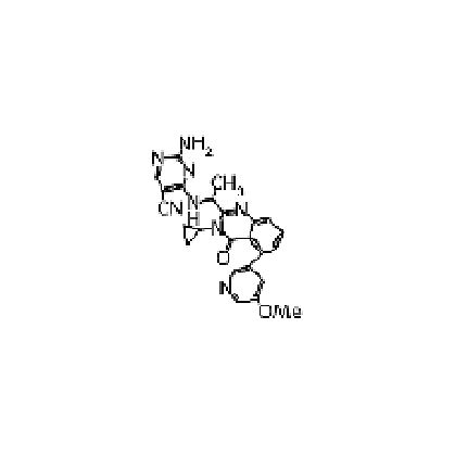 COc1cncc(-c2cccc3nc([C@H](C)Nc4nc(N)ncc4C#N)n(C4CC4)c(=O)c23)c1